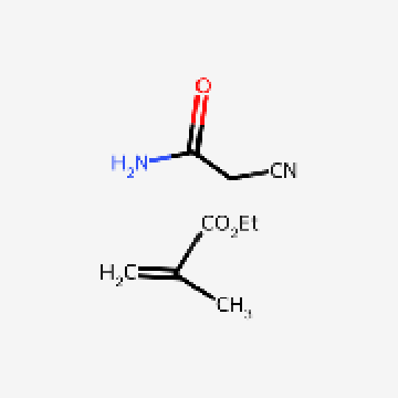 C=C(C)C(=O)OCC.N#CCC(N)=O